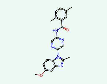 COc1ccc2c(c1)nc(C)n2-c1cnc(NC(=O)c2cc(C)ccc2C)cn1